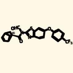 O=CN(C(=O)[C@@H]1CC2C=CC1C2)c1nc2ccc(Oc3ccc(C(F)(F)F)cc3)cc2s1